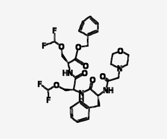 O=C(CN1CCOCC1)N[C@@H](Cc1ccccc1)C(=O)N[C@@H](COC(F)F)C(=O)N[C@@H](COC(F)F)C(=O)OCc1ccccc1